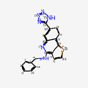 c1ccc(CNc2nc3cc(-c4nnn[nH]4)ccc3c3sccc23)cc1